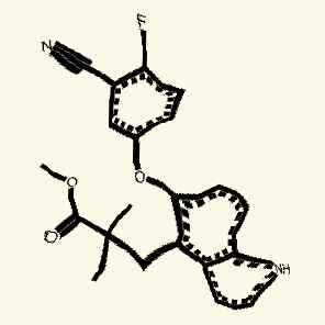 COC(=O)C(C)(C)Cc1c(Oc2ccc(F)c(C#N)c2)ccc2[nH]ccc12